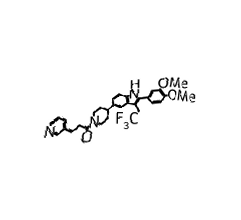 COc1ccc(-c2[nH]c3ccc(C4CCN(C(=O)CCc5cccnc5)CC4)cc3c2CC(F)(F)F)cc1OC